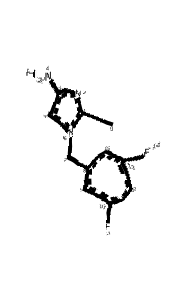 Cc1nc(N)cn1Cc1cc(F)cc(F)c1